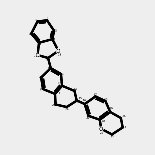 c1ccc2c(c1)OC(c1ccc3c(c1)CC(c1ccc4c(c1)OCCC4)CC3)O2